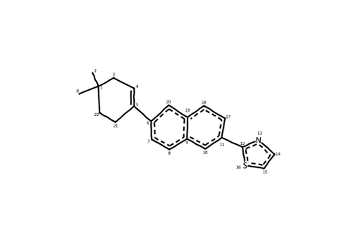 CC1(C)CC=C(c2ccc3cc(-c4nccs4)ccc3c2)CC1